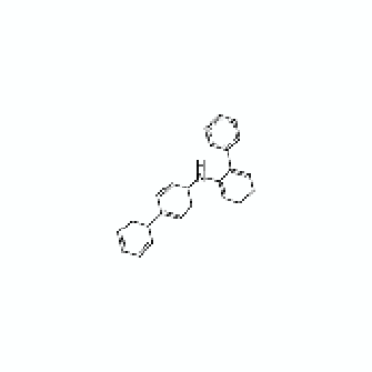 C1=CCC(C2=CCC(NC3=CCCC=C3c3ccccc3)C=C2)C=C1